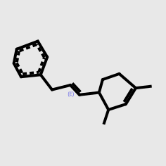 CC1=CC(C)C(/C=C/Cc2ccccc2)CC1